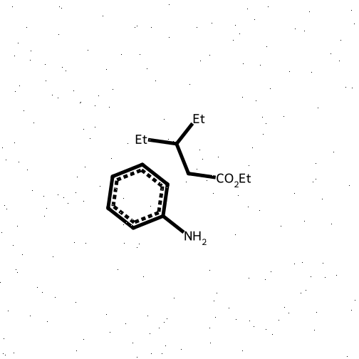 CCOC(=O)CC(CC)CC.Nc1ccccc1